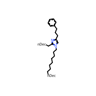 CCCCCCCCCCCCCCCCCCn1cc(CCCc2ccccc2)nc1CCCCCCCCCCC